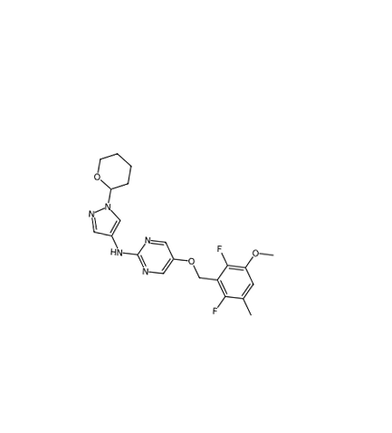 COc1cc(C)c(F)c(COc2cnc(Nc3cnn(C4CCCCO4)c3)nc2)c1F